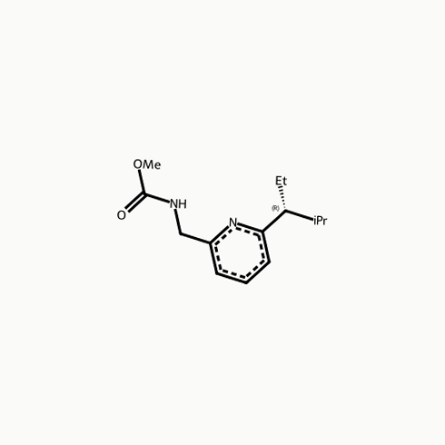 CC[C@@H](c1cccc(CNC(=O)OC)n1)C(C)C